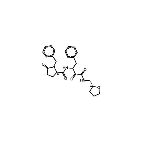 O=C(NC[C@H]1CCCO1)C(=O)C(Cc1ccccc1)NC(=O)[C@H]1CCC(=O)N1Cc1ccccc1